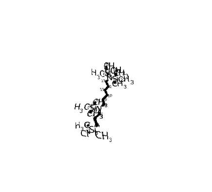 C[Si](C)(Cl)CCCN(CCCCCCN([Si](C)(C)C)[Si](C)(C)C)[Si](C)(C)C